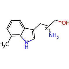 Cc1cccc2c(C[C@@H](N)CO)c[nH]c12